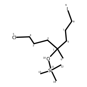 CC(CCCCl)(CCCI)O[Si](C)(C)C